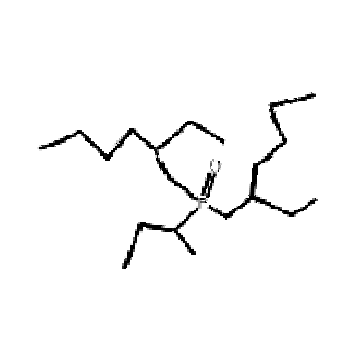 CCCCC(CC)CP(=O)(CC(CC)CCCC)C(C)CC